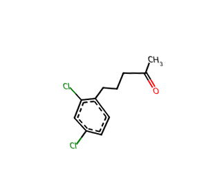 CC(=O)CCCc1ccc(Cl)cc1Cl